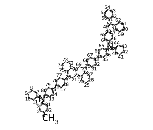 Cc1ccc(N(c2ccccc2)c2ccc(-c3ccc(C4CC5C6CCCCC6C(c6ccc(-c7ccc(N(c8ccccc8)c8ccc(C=C(c9ccccc9)c9ccccc9)cc8)cc7)cc6)CC5C5CCCCC45)cc3)cc2)cc1